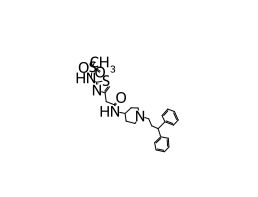 CS(=O)(=O)Nc1nc(CC(=O)NC2CCN(CCC(c3ccccc3)c3ccccc3)CC2)cs1